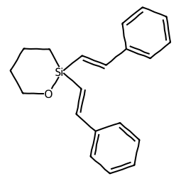 C(=C[Si]1(C=Cc2ccccc2)CCCCO1)c1ccccc1